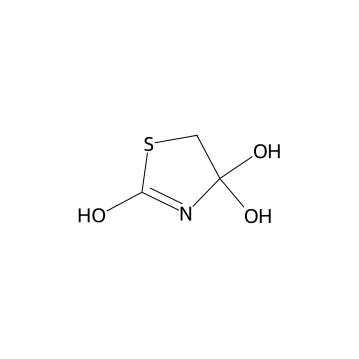 OC1=NC(O)(O)CS1